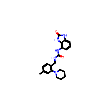 Cc1ccc(CNC(=O)Nc2cccc3[nH]c(=O)[nH]c23)c(N2CCCCC2)c1